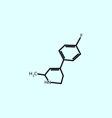 CC1C=C(c2ccc(F)cc2)CCN1